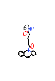 CCNC(=O)CCCCC(=O)N1Cc2ccccc2C#Cc2ccccc21